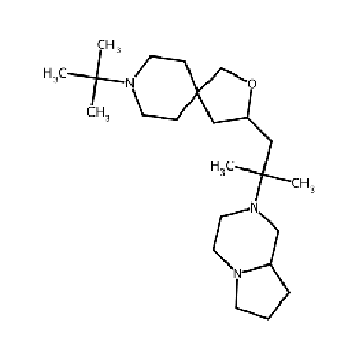 CC(C)(C)N1CCC2(CC1)COC(CC(C)(C)N1CCN3CCCC3C1)C2